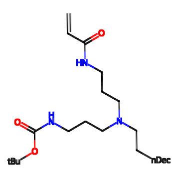 C=CC(=O)NCCCN(CCCCCCCCCCCC)CCCNC(=O)OC(C)(C)C